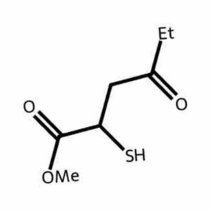 CCC(=O)CC(S)C(=O)OC